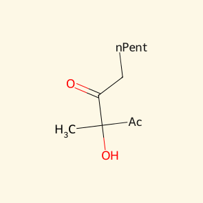 CCCCCCC(=O)C(C)(O)C(C)=O